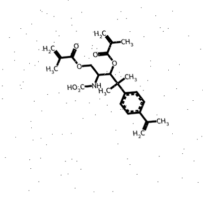 C=C(C)C(=O)OCC(NC(=O)O)C(OC(=O)C(=C)C)C(C)(C)c1ccc(C(=C)C)cc1